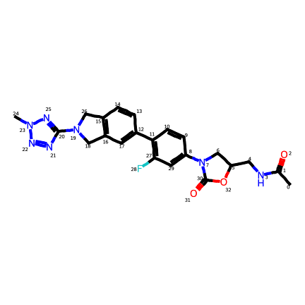 CC(=O)NCC1CN(c2ccc(-c3ccc4c(c3)CN(c3nnn(C)n3)C4)c(F)c2)C(=O)O1